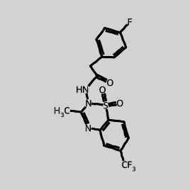 CC1=Nc2cc(C(F)(F)F)ccc2S(=O)(=O)N1NC(=O)Cc1ccc(F)cc1